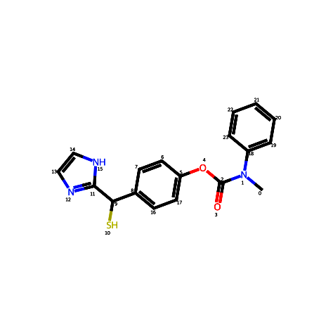 CN(C(=O)Oc1ccc(C(S)c2ncc[nH]2)cc1)c1ccccc1